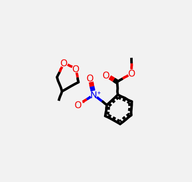 CC1COOC1.COC(=O)c1ccccc1[N+](=O)[O-]